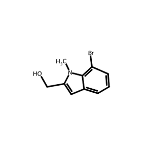 Cn1c(CO)cc2cccc(Br)c21